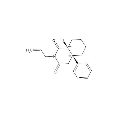 C=CCN1C(=O)C[C@@]2(c3ccccc3)CCCC[C@H]2C1=O